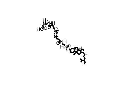 CCC(CC[C@@H](C)[C@H]1CC[C@@H]2C1CC[C@H]1[C@H]2CC=C2C[C@@H](OC(=O)NCCNC(=O)CCC(C)(C)OCC(C)(C)OCCC(=O)N[C@@H](C)C(=O)N[C@@H](C)C(=O)O)CC[C@@]21CC)C(C)C